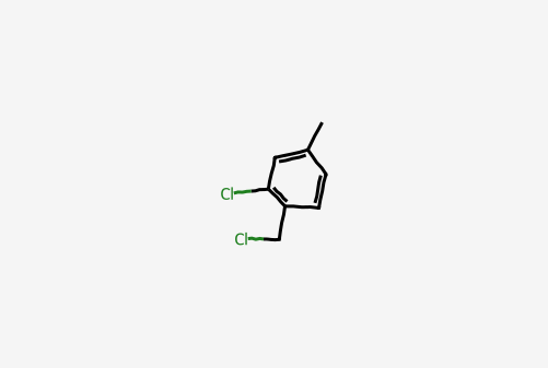 Cc1ccc(CCl)c(Cl)c1